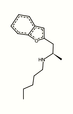 CCCCCN[C@H](C)Cc1cc2ccccc2o1